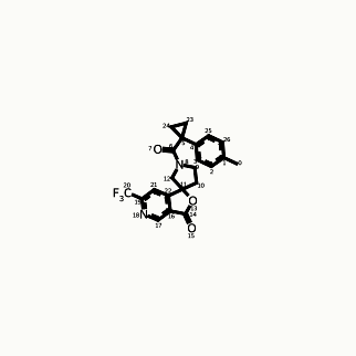 Cc1ccc(C2(C(=O)N3CCC4(C3)OC(=O)c3cnc(C(F)(F)F)cc34)CC2)cc1